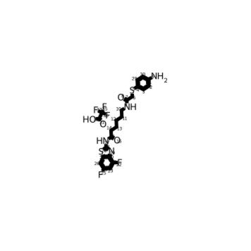 Nc1ccc(SCC(=O)NCCCCCC(=O)Nc2nc3c(F)cc(F)cc3s2)cc1.O=C(O)C(F)(F)F